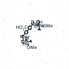 COCN[C@@H](C(=O)N1CCC[C@H]1c1ncc(-c2ccc(-c3ccc(-c4cnc([C@@H]5CCCN5C(=O)[C@H](NCOC)C5CC5)[nH]4)cc3C(=O)O)cc2)[nH]1)C1CC1